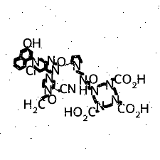 C=CC(=O)N1CCN(c2nc(OC[C@@H]3CCCN3CCNC(=O)CN3CCN(CC(=O)O)CCN(CC(=O)O)CCN(CC(=O)O)CC3)nc3c2CCN(c2cc(O)cc4cccc(Cl)c24)C3)C[C@@H]1CC#N